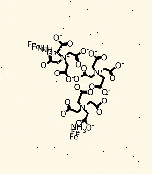 N.N.N.O=C([O-])C[N+](CC(=O)[O-])(CC(=O)[O-])CC(=O)[O-].O=C([O-])C[N+](CC(=O)[O-])(CC(=O)[O-])CC(=O)[O-].O=C([O-])C[N+](CC(=O)[O-])(CC(=O)[O-])CC(=O)[O-].[Fe].[Fe].[Fe].[Fe]